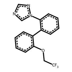 FC(F)(F)COc1ccccc1-c1ccccc1-n1cncn1